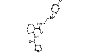 COc1ccc(NCCNC(=O)[C@@H]2CCCC[C@@H]2NC(=O)c2ccsc2)cc1